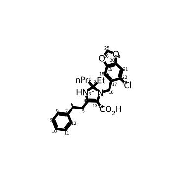 CCCC1(CC)NC(CCc2ccccc2)=C(C(=O)O)N1Cc1cc2c(cc1Cl)OCO2